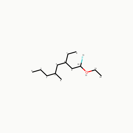 CCCC(C)CC(CC)CC(F)OCC